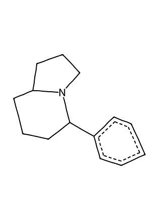 c1ccc(C2CCCC3CCCN32)cc1